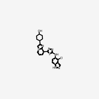 OC1CCC(c2cn3cccc(-c4nnc(Nc5ccc6[nH]ncc6c5Cl)s4)c3n2)CC1